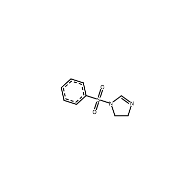 O=S(=O)(c1ccccc1)N1C=NCC1